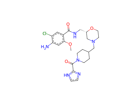 COc1cc(N)c(Cl)cc1C(=O)NC[C@H]1CN(CC2CCN(C(=O)c3ncc[nH]3)CC2)CCO1